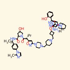 Cc1nccn1-c1ccc([C@@H](C)NC(=O)[C@H]2C[C@H](O)CN2C(=O)[C@@H](c2cc(N3CCN(CC4CCN(CC5CC(Oc6cc(N7C8CC[C@@H]7CN(c7cc(-c9ccccc9O)nnc7N)C8)ccn6)C5)CC4)CC3)no2)C(C)C)cc1